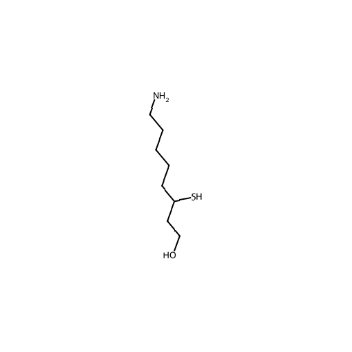 NCCCCCC(S)CCO